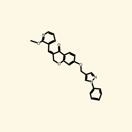 COc1ncccc1C=C1COc2cc(OCc3cnn(-c4ccccc4)c3)ccc2C1=O